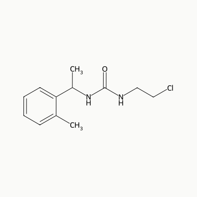 Cc1ccccc1C(C)NC(=O)NCCCl